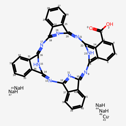 O=C(O)c1cccc2c3nc4nc(nc5[nH]c(nc6nc(nc([nH]3)c12)-c1ccccc1-6)c1ccccc51)-c1ccccc1-4.[Cu].[NaH].[NaH].[NaH].[NaH]